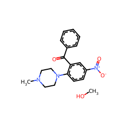 CN1CCN(c2ccc([N+](=O)[O-])cc2C(=O)c2ccccc2)CC1.CO